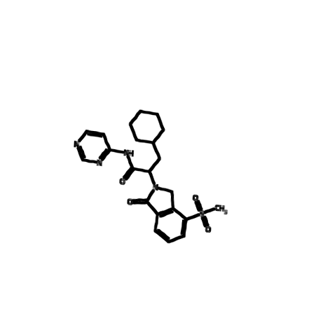 CS(=O)(=O)c1cccc2c1CN(C(CC1CCCCC1)C(=O)Nc1ccncn1)C2=O